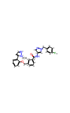 Cn1nccc1-c1ccccc1OCc1cccc(C(=O)Nc2cnn(Cc3ccc(F)cc3)c2)c1